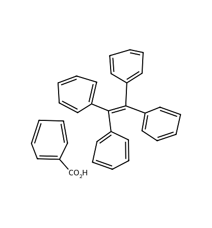 O=C(O)c1ccccc1.c1ccc(C(=C(c2ccccc2)c2ccccc2)c2ccccc2)cc1